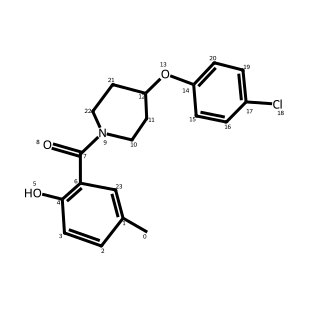 Cc1ccc(O)c(C(=O)N2CCC(Oc3ccc(Cl)cc3)CC2)c1